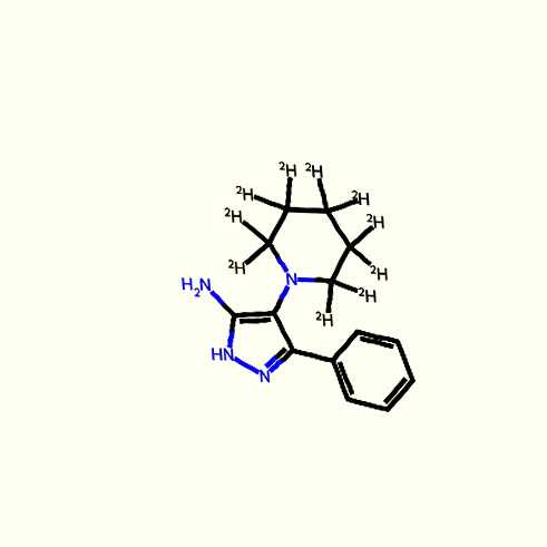 [2H]C1([2H])N(c2c(-c3ccccc3)n[nH]c2N)C([2H])([2H])C([2H])([2H])C([2H])([2H])C1([2H])[2H]